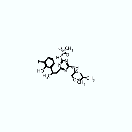 CC(C)C[C@H](CO)Nc1nc(CC(C)c2cccc(F)c2O)nc(NS(C)(=O)=O)n1